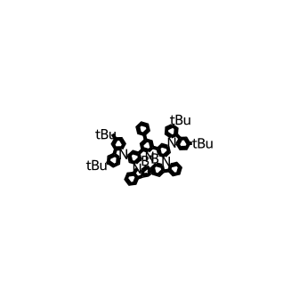 CC(C)(C)c1ccc2c(c1)c1cc(C(C)(C)C)ccc1n2-c1cc2c3c(c1)-n1c4ccccc4c4cccc(c41)B3N1B3c4c(cc(-n5c6ccc(C(C)(C)C)cc6c6cc(C(C)(C)C)ccc65)cc4-n4c5ccccc5c5cccc3c54)-c3cc(-c4ccccc4)cc-2c31